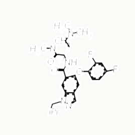 CC(C)Cn1ncc2cc(Oc3ccc(F)cc3F)c(C(=O)N[C@@H](CCN(C)C)C(=O)N(C)C)cc21